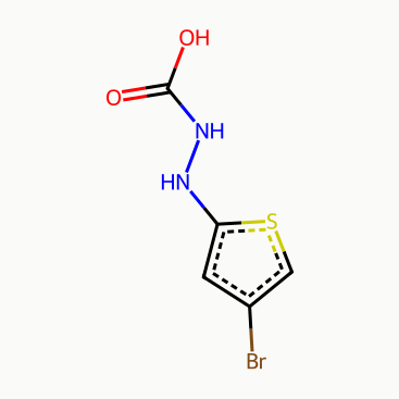 O=C(O)NNc1cc(Br)cs1